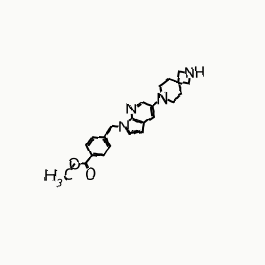 COC(=O)c1ccc(Cn2ccc3cc(N4CCC5(CC4)CNC5)cnc32)cc1